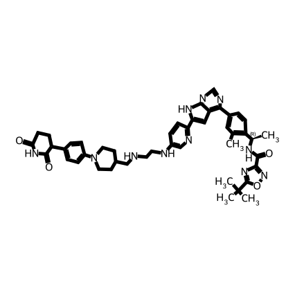 Cc1cc(-c2ncnc3[nH]c(-c4ccc(NCCNCC5CCN(c6ccc(C7CCC(=O)NC7=O)cc6)CC5)cn4)cc23)ccc1[C@@H](C)NC(=O)c1noc(C(C)(C)C)n1